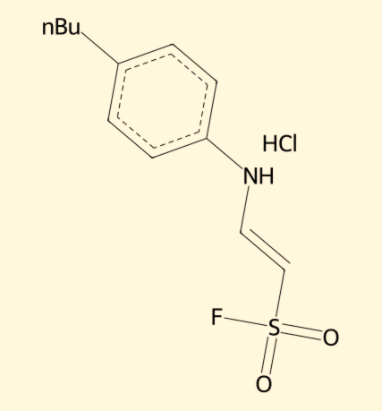 CCCCc1ccc(NC=CS(=O)(=O)F)cc1.Cl